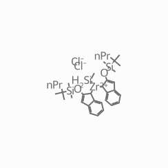 CCCC(C)(C)[Si](C)(C)OC1=Cc2ccccc2[CH]1[Zr+2]([SiH2]C)[CH]1C(O[Si](C)(C)C(C)(C)CCC)=Cc2ccccc21.[Cl-].[Cl-]